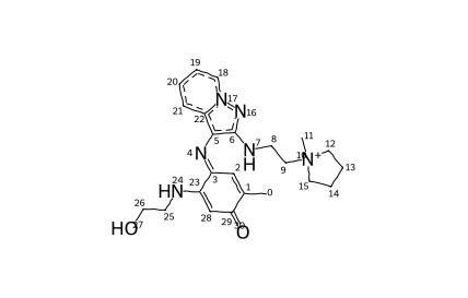 CC1=C/C(=N\c2c(NCC[N+]3(C)CCCC3)nn3ccccc23)C(NCCO)=CC1=O